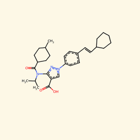 CC1CCC(C(=O)N(c2nn(-c3ccc(C=CC4CCCCC4)cc3)cc2C(=O)O)C(C)C)CC1